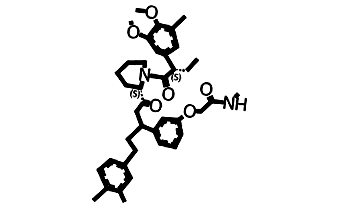 CC[C@H](C(=O)N1CCCC[C@H]1C(=O)CC(CCc1ccc(C)c(C)c1)c1cccc(OCC(=O)NC)c1)c1cc(C)c(OC)c(OC)c1